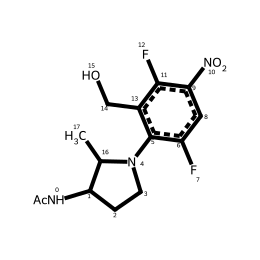 CC(=O)NC1CCN(c2c(F)cc([N+](=O)[O-])c(F)c2CO)C1C